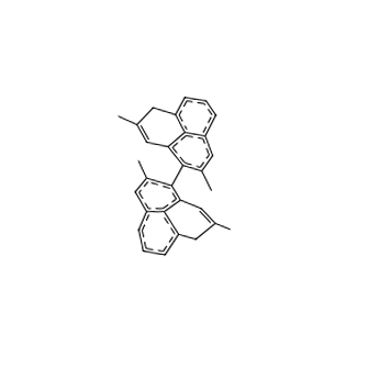 CC1=Cc2c(-c3c(C)cc4cccc5c4c3C=C(C)C5)c(C)cc3cccc(c23)C1